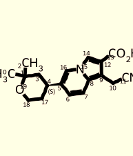 CC1(C)C[C@@H](c2ccc3c(CC#N)c(C(=O)O)cn3c2)CCO1